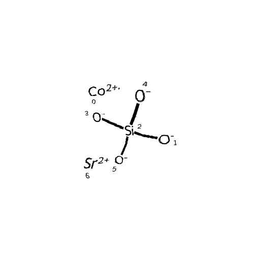 [Co+2].[O-][Si]([O-])([O-])[O-].[Sr+2]